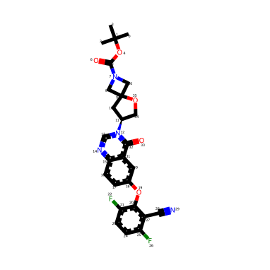 CC(C)(C)OC(=O)N1CC2(C[C@H](n3cnc4ccc(Oc5c(F)ccc(F)c5C#N)cc4c3=O)CO2)C1